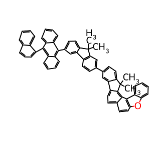 CC1(C)c2ccc(-c3c4ccccc4c(-c4cccc5ccccc45)c4ccccc34)cc2-c2ccc(-c3ccc4c(c3)-c3ccc5ccc6oc7ccccc7c6c5c3C4(C)C)cc21